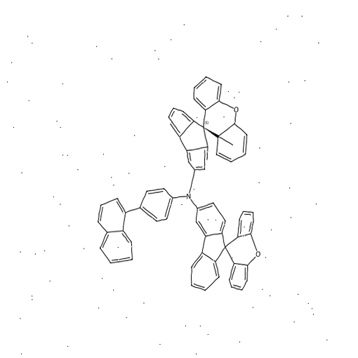 CC12C=CC=CC1Oc1ccccc1[C@]21c2ccccc2-c2cc(N(c3ccc(-c4cccc5ccccc45)cc3)c3ccc4c(c3)-c3ccccc3C43c4ccccc4Oc4ccccc43)ccc21